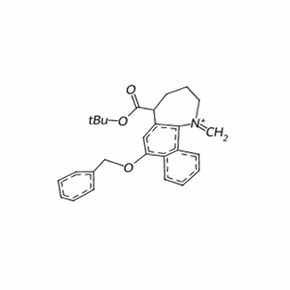 C=[N+]1CCCC(C(=O)OC(C)(C)C)c2cc(OCc3ccccc3)c3ccccc3c21